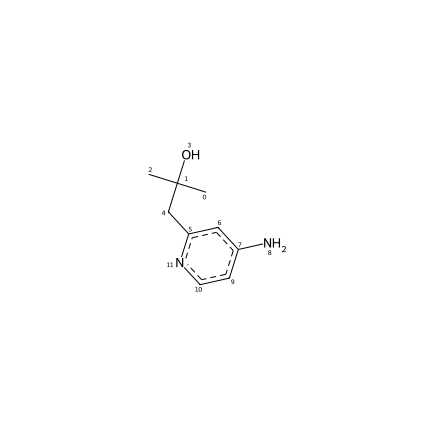 CC(C)(O)Cc1cc(N)ccn1